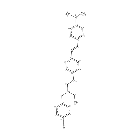 CN(C)c1ccc(/C=C/c2ccc(OCC(CO)Cc3ccc(Br)cc3)cc2)cc1